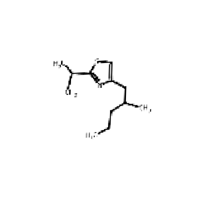 CCCC(C)Cc1csc(C(C)C)n1